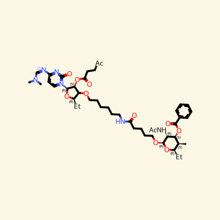 CC[C@H]1O[C@@H](n2ccc(/N=C\N(C)C)nc2=O)[C@@H](OC(=O)CCC(C)=O)C1OCCCCCCNC(=O)CCCCO[C@@H]1O[C@H](CC)[C@H](C)[C@H](OC(=O)c2ccccc2)[C@H]1NC(C)=O